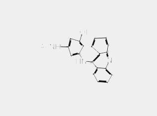 CC(=O)Nc1cc(O)cc(Nc2c3ccccc3nc3ccccc23)c1